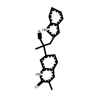 Cc1cc2ccc(C(C)(C#N)Cc3cc4ccccc4[nH]3)cc2[nH]c1=O